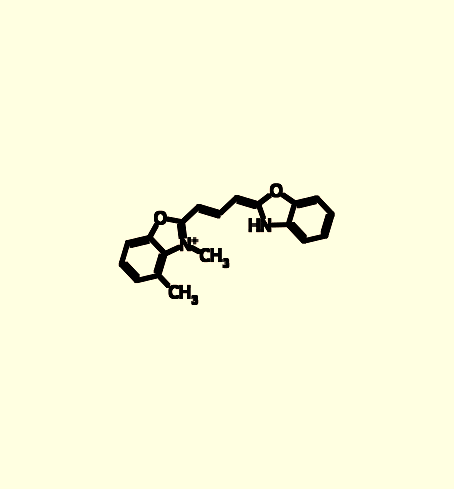 Cc1cccc2oc(C=CC=C3Nc4ccccc4O3)[n+](C)c12